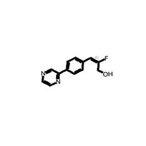 OC/C(F)=C\c1ccc(-c2cnccn2)cc1